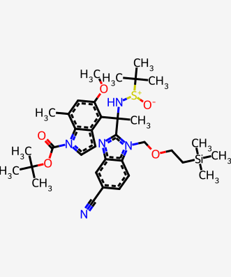 COc1cc(C)c2c(ccn2C(=O)OC(C)(C)C)c1C(C)(N[S+]([O-])C(C)(C)C)c1nc2cc(C#N)ccc2n1COCC[Si](C)(C)C